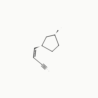 N#C/C=C\[C@@H]1CC[C@H](O)C1